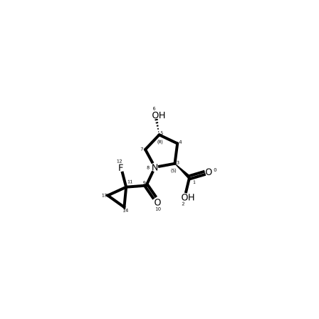 O=C(O)[C@@H]1C[C@@H](O)CN1C(=O)C1(F)CC1